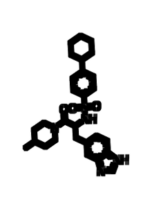 CC1CCN(C(=O)C(Cc2ccc3[nH]cnc3c2)NS(=O)(=O)c2ccc(C3CCCCC3)cc2)CC1